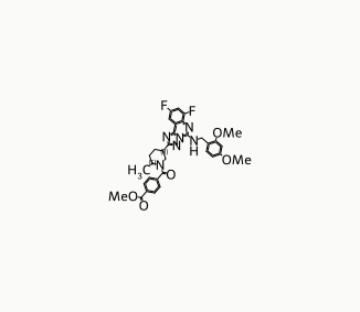 COC(=O)c1ccc(C(=O)N2C[C@H](c3nc4c5cc(F)cc(F)c5nc(NCc5ccc(OC)cc5OC)n4n3)CC[C@@H]2C)cc1